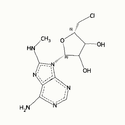 CNc1nc2c(N)ncnc2n1[C@@H]1O[C@H](CCl)C(O)C1O